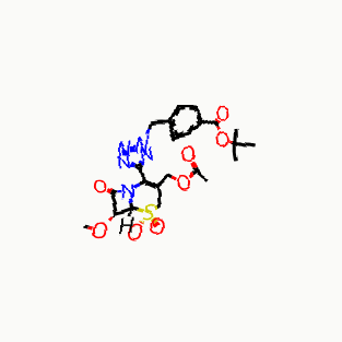 CO[C@H]1C(=O)N2C(c3nnn(Cc4ccc(C(=O)OC(C)(C)C)cc4)n3)=C(COC(C)=O)CS(=O)(=O)[C@H]12